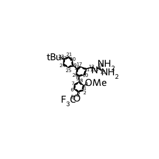 COc1cc(OC(F)(F)F)ccc1-c1cc(CN=C(N)N)cc(-c2ccc(C(C)(C)C)cc2)c1